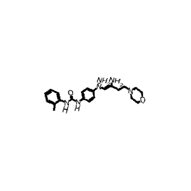 Cc1ccccc1NC(=O)Nc1ccc(N(N)/C=C(\N)CCN2CCOCC2)cc1